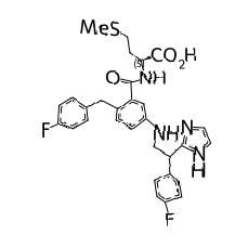 CSCC[C@H](NC(=O)c1cc(NCC(c2ccc(F)cc2)c2ncc[nH]2)ccc1Cc1ccc(F)cc1)C(=O)O